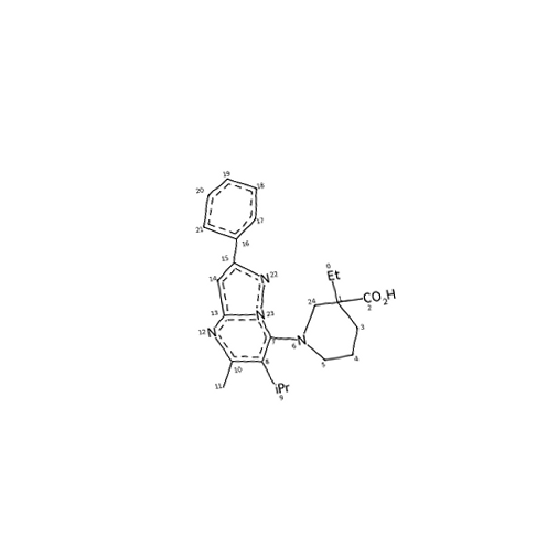 CCC1(C(=O)O)CCCN(c2c(C(C)C)c(C)nc3cc(-c4ccccc4)nn23)C1